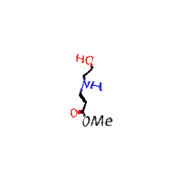 COC(=O)C=CNCCO